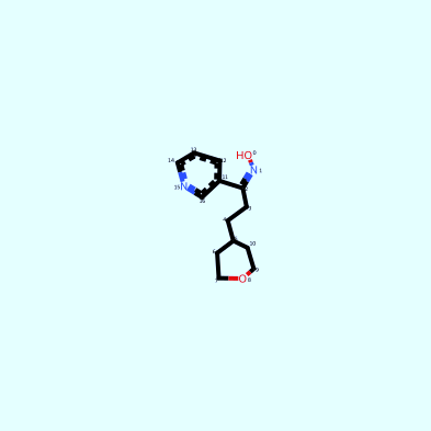 O/N=C(/CCC1CCOCC1)c1cccnc1